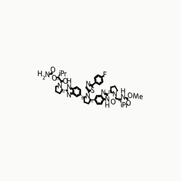 COC(=O)N[C@H](C(=O)N1CCC[C@H]1c1nc2cc([C@H]3CC[C@H](c4ccc5[nH]c([C@@H]6CCCN6C(=O)[C@@H](OC(N)=O)C(C)C)nc5c4)N3c3cnc(-c4ccc(F)cc4)s3)ccc2[nH]1)C(C)C